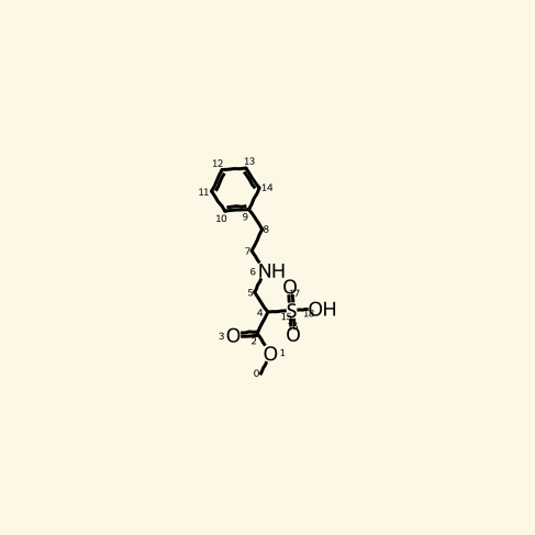 COC(=O)C(CNCCc1ccccc1)S(=O)(=O)O